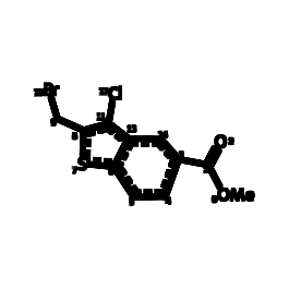 COC(=O)c1ccc2sc(CBr)c(Cl)c2c1